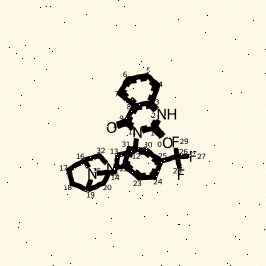 O=c1[nH]c2ccccc2c(=O)n1CCCN1C2CCC1CN(c1ccc(C(F)(F)F)cc1)C2